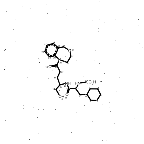 O=C(O)NC(CC1CCCCC1)C(=O)NC(CO)CCC(=O)N1CCOCc2ccccc21